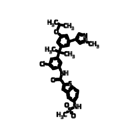 CC(C)Oc1cc(-c2cnn(C)c2)cc(C(C)(C)c2cc(Cl)cc(NC(=O)c3cc4cc(NS(C)(=O)=O)ccc4s3)c2)c1